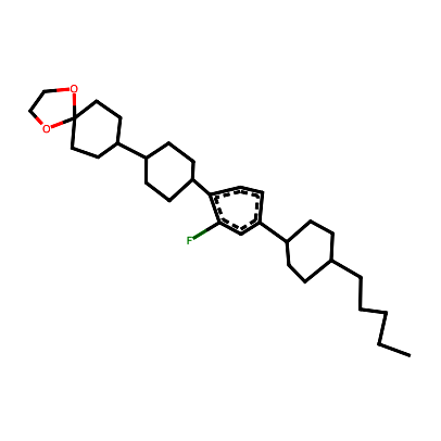 CCCCCC1CCC(c2ccc(C3CCC(C4CCC5(CC4)OCCO5)CC3)c(F)c2)CC1